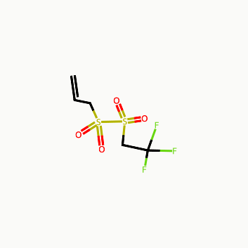 C=CCS(=O)(=O)S(=O)(=O)CC(F)(F)F